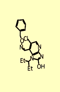 CCC(CC)n1c(O)nc2ncc(Cl)c(/C=N\OCc3ccccc3)c21